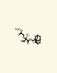 COC(=O)COC(C)(C=O)C(=O)OCC12CC3CC(CC(C3)C1)C2